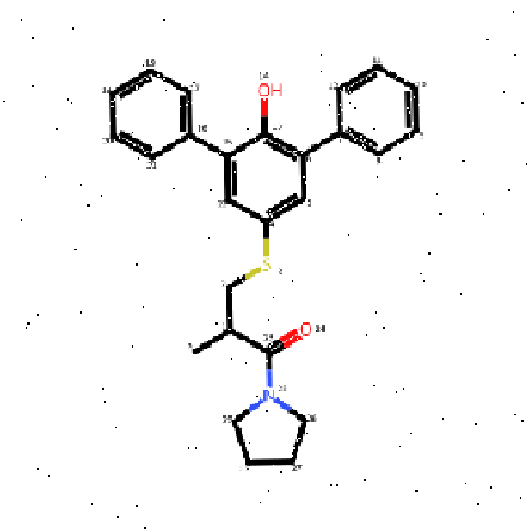 CC(CSc1cc(-c2ccccc2)c(O)c(-c2ccccc2)c1)C(=O)N1CCCC1